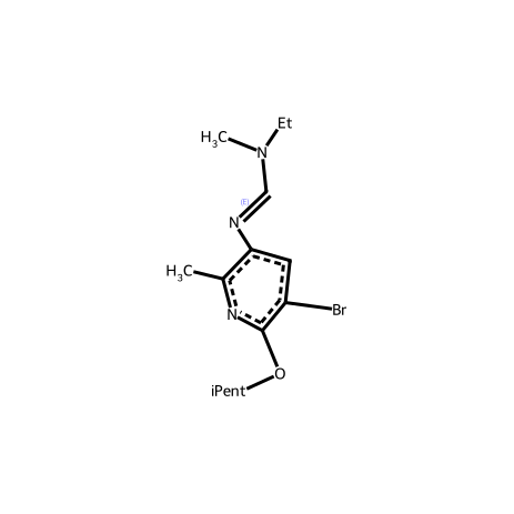 CCCC(C)Oc1nc(C)c(/N=C/N(C)CC)cc1Br